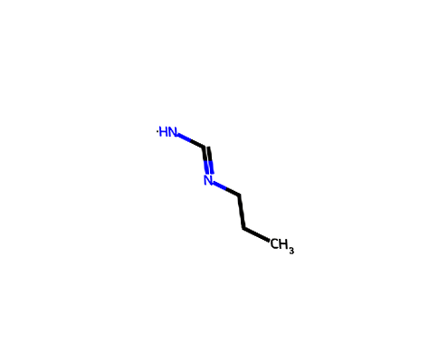 CCCN=C[NH]